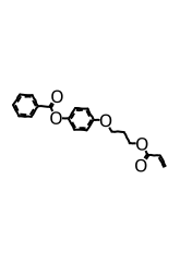 C=CC(=O)OCCCOc1ccc(OC(=O)c2ccccc2)cc1